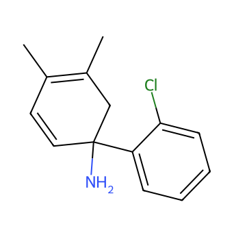 CC1=C(C)CC(N)(c2ccccc2Cl)C=C1